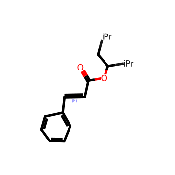 CC(C)CC(OC(=O)/C=C/c1ccccc1)C(C)C